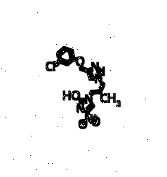 C[C@H](Cn1cc(COc2cccc(Cl)c2)nn1)Cn1cc([N+](=O)[O-])nc1O